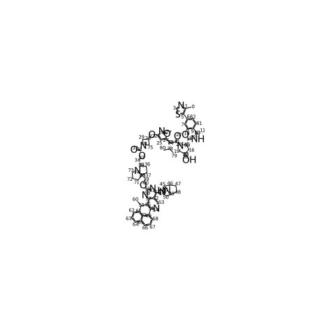 Cc1ncsc1-c1ccc([C@H](C)NC(=O)[C@@H]2C[C@@H](O)CN2C(=O)[C@@H](c2cc(OC3CN(C(=O)OC[C@@H]4CC[C@@]5(COc6nc(N7CC8CCC(C7)N8)c7cnc8c(c7n6)C(C)c6cccc7cccc-8c67)CCCN45)C3)no2)C(C)C)cc1